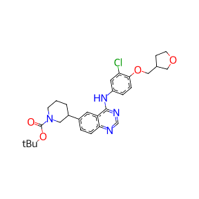 CC(C)(C)OC(=O)N1CCCC(c2ccc3ncnc(Nc4ccc(OCC5CCOC5)c(Cl)c4)c3c2)C1